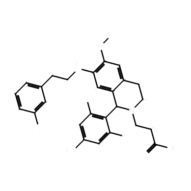 COc1cc2c(cc1OCCc1cccc(O)c1)C(c1c(O)cc(C)cc1Cl)N(CCC(C)=O)CC2